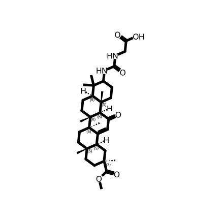 COC(=O)[C@@]1(C)CC[C@]2(C)CC[C@]3(C)C(=CC(=O)[C@@H]4[C@@]5(C)CCC(NC(=O)NCC(=O)O)C(C)(C)[C@@H]5CC[C@]43C)[C@H]2C1